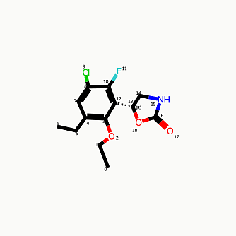 CCOc1c(CC)cc(Cl)c(F)c1[C@@H]1CNC(=O)O1